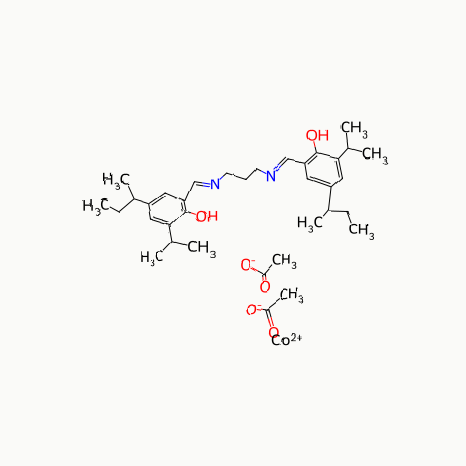 CC(=O)[O-].CC(=O)[O-].CCC(C)c1cc(C=NCCCN=Cc2cc(C(C)CC)cc(C(C)C)c2O)c(O)c(C(C)C)c1.[Co+2]